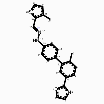 Cc1ccc(-c2ncco2)cc1-c1ccc(N/N=C/c2sccc2C)cc1